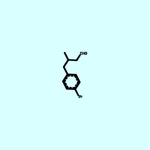 CC(CC=O)Cc1ccc(C(C)C)cc1